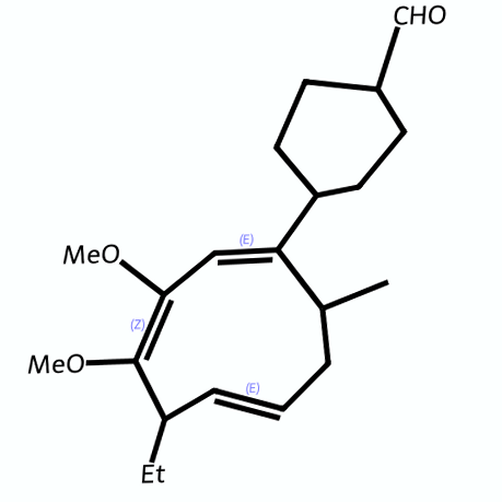 CCC1/C=C/CC(C)/C(C2CCC(C=O)CC2)=C\C(OC)=C/1OC